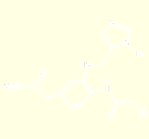 CCn1cncc1CNc1cc(CC(=O)OC)ccc1NC(=O)CCl